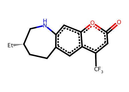 CC[C@H]1CCc2cc3c(C(F)(F)F)cc(=O)oc3cc2NC1